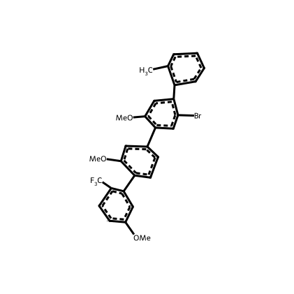 COc1[c]cc(C(F)(F)F)c(-c2ccc(-c3cc(Br)c(-c4ccccc4C)cc3OC)cc2OC)c1